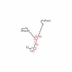 CC/C=C\CC1C(O)CCC1CC(=O)OCC(COC(=O)CCCCCCC/C=C\C/C=C\CCCCC)OC(=O)CCCCCCC/C=C\C/C=C\CCCCC